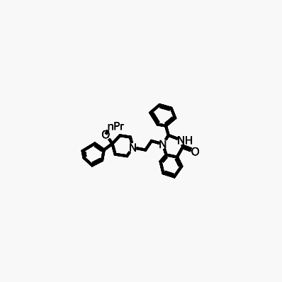 CCCOC1(c2ccccc2)CCN(CCN2c3ccccc3C(=O)NC2c2ccccc2)CC1